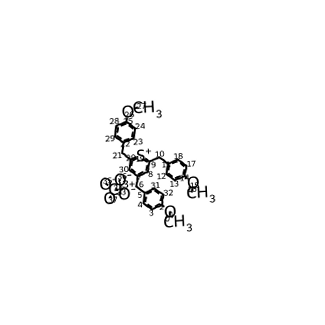 COc1ccc(Cc2cc(Cc3ccc(OC)cc3)[s+]c(Cc3ccc(OC)cc3)c2)cc1.[O-][Cl+3]([O-])([O-])[O-]